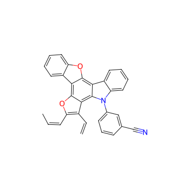 C=Cc1c(/C=C\C)oc2c1c1c(c3ccccc3n1-c1cccc(C#N)c1)c1oc3ccccc3c21